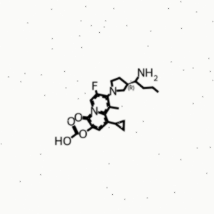 CCCC(N)[C@@H]1CCN(c2c(F)cn3c(=O)c(OC(=O)O)cc(C4CC4)c3c2C)C1